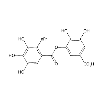 CCCc1c(C(=O)Oc2cc(C(=O)O)cc(O)c2O)cc(O)c(O)c1O